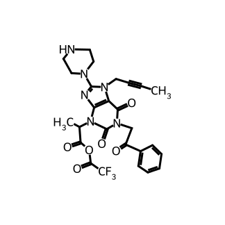 CC#CCn1c(N2CCNCC2)nc2c1c(=O)n(CC(=O)c1ccccc1)c(=O)n2C(C)C(=O)OC(=O)C(F)(F)F